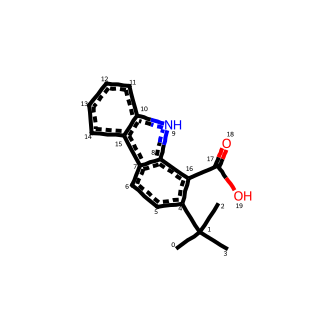 CC(C)(C)c1ccc2c([nH]c3ccccc32)c1C(=O)O